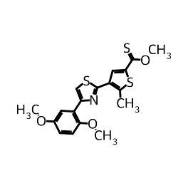 COC(=S)c1cc(-c2nc(-c3cc(OC)ccc3OC)cs2)c(C)s1